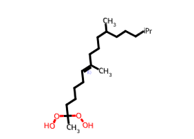 C/C(=C\CCCCC(C)(OO)OO)CCCC(C)CCCC(C)C